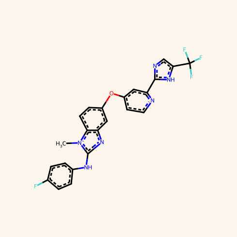 Cn1c(Nc2ccc(F)cc2)nc2cc(Oc3ccnc(-c4ncc(C(F)(F)F)[nH]4)c3)ccc21